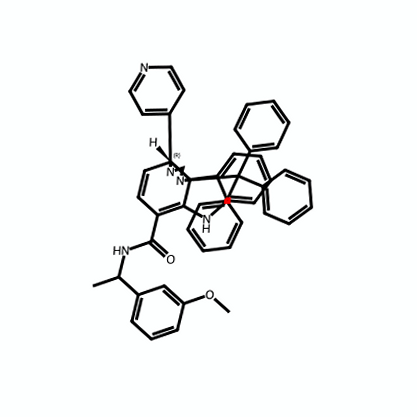 COc1cccc(C(C)NC(=O)C2=C3Nc4ccccc4C34[C@@H](C=C2)N(c2ccncc2)CN4C(c2ccccc2)(c2ccccc2)c2ccccc2)c1